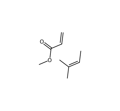 C=CC(=O)OC.CC=C(C)C